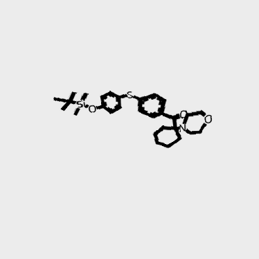 CC(C)(C)[Si](C)(C)Oc1ccc(Sc2ccc(C(=O)C3(N4CCOCC4)CCCCC3)cc2)cc1